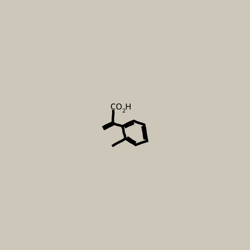 C=C(C(=O)O)c1ccccc1C